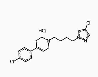 Cl.Clc1ccc(C2=CCN(CCCCn3cc(Cl)cn3)CC2)cc1